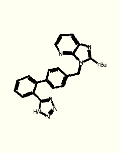 CCCCc1nc2cccnc2n1Cc1ccc(-c2ccccc2-c2nnn[nH]2)cc1